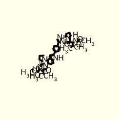 COC(=O)N[C@H](C(=O)N(C(=O)[C@@H]1CCCN1)c1ccc2[nH]c(-c3ccc(-c4cnc([C@@H]5CCCN5C(=O)[C@@H](NC(=O)OC)C(C)C)[nH]4)cc3)cc2c1)C(C)C